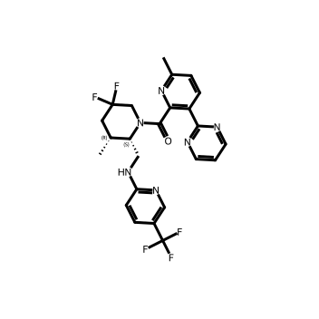 Cc1ccc(-c2ncccn2)c(C(=O)N2CC(F)(F)C[C@@H](C)[C@H]2CNc2ccc(C(F)(F)F)cn2)n1